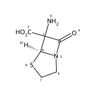 NC1(C(=O)O)C(=O)N2CCS[C@H]21